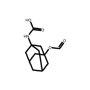 O=COC12CC3CC(CC(NC(=O)O)(C3)C1)C2